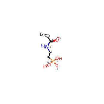 CCC(=O)NCCP(=O)(O)O